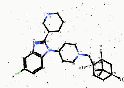 CC1(C)[C@H]2CC[C@@H](CN3CCC(n4c([C@@H]5CCCNC5)nc5cc(F)ccc54)CC3)[C@@H]1C2